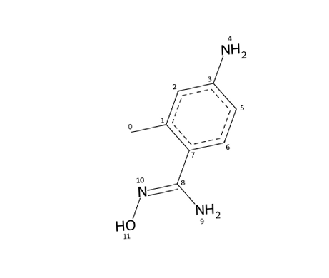 Cc1cc(N)ccc1C(N)=NO